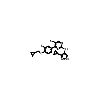 Fc1cc(-c2nc(Nc3c[nH]nc3C3CC3)ncc2Cl)ccc1OCC1CC1